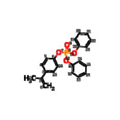 C=C(C)c1ccc(OP(=O)(Oc2ccccc2)Oc2ccccc2)cc1